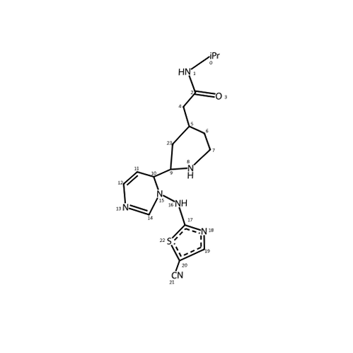 CC(C)NC(=O)CC1CCNC(C2C=CN=CN2Nc2ncc(C#N)s2)C1